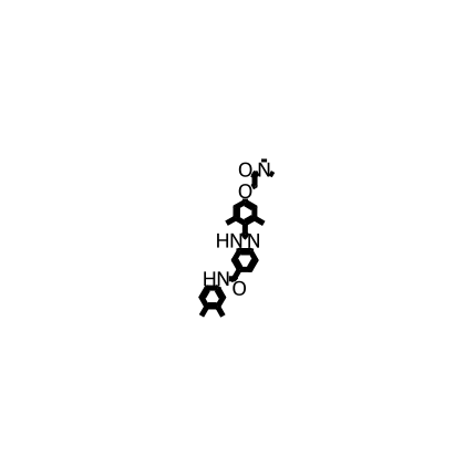 Cc1ccc(NC(=O)c2ccc3nc(-c4c(C)cc(OCC(=O)N(C)C)cc4C)[nH]c3c2)cc1C